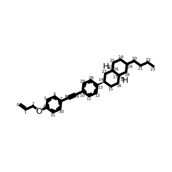 C=CCOc1ccc(C#Cc2ccc([C@@H]3CC[C@@H]4CC(CCCC)CC[C@@H]4C3)cc2)cc1